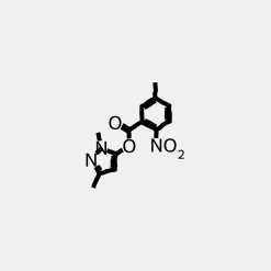 Cc1ccc([N+](=O)[O-])c(C(=O)Oc2cc(C)nn2C)c1